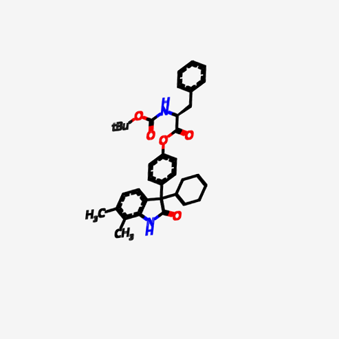 Cc1ccc2c(c1C)NC(=O)C2(c1ccc(OC(=O)[C@H](Cc2ccccc2)NC(=O)OC(C)(C)C)cc1)C1CCCCC1